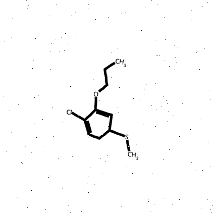 CCCOC1=CC(SC)CC=C1Cl